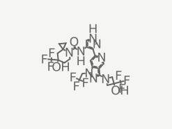 O=C(Nc1c[nH]nc1-c1cc2c(cn1)c(N1CC(O)(C(F)(F)F)C1)nn2CC(F)(F)F)N1CCC(O)(C(F)(F)F)CC12CC2